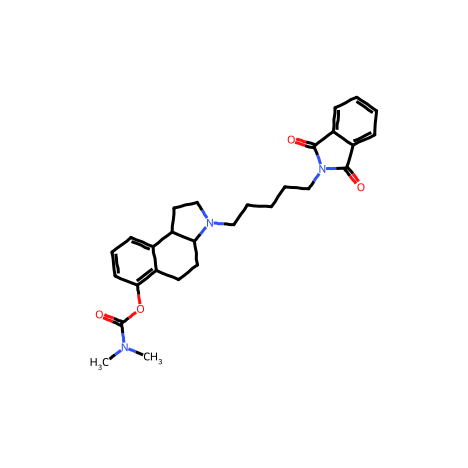 CN(C)C(=O)Oc1cccc2c1CCC1C2CCN1CCCCCN1C(=O)c2ccccc2C1=O